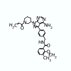 C=CC(=O)N1CCC[C@@H](n2nc(-c3ccc(CNC(=O)c4cccc(C)c4OC)cc3)c3c(N)ncnc32)C1